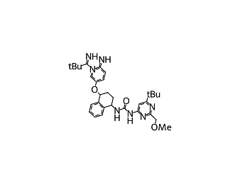 COCc1nc(NC(=O)NC2CCC(Oc3ccc(=N)n(C(=N)C(C)(C)C)c3)c3ccccc32)cc(C(C)(C)C)n1